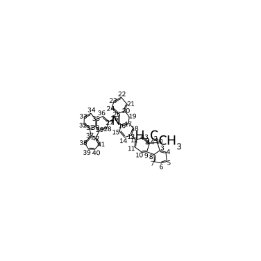 CC1(C)c2ccccc2-c2ccc(-c3ccc4c(c3)Cc3ccccc3N4c3cc4c5c(cccc5c3)-c3ccccc3-4)cc21